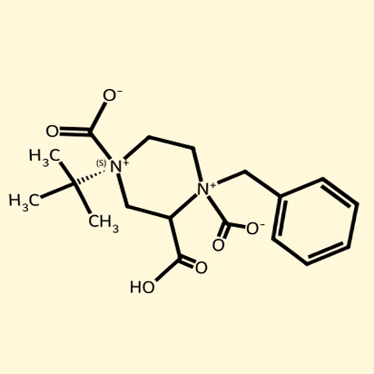 CC(C)(C)[N@+]1(C(=O)[O-])CC[N+](Cc2ccccc2)(C(=O)[O-])C(C(=O)O)C1